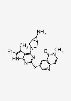 CCc1[nH]c2nc(Sc3cnc4ccn(C)c(=O)c4c3)nc(N3CC4C(N)C4C3)c2c1C